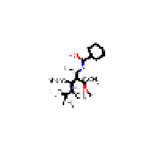 C=C(C)/C(C)=C(\CCCCC)C([C@H](C)NC(O)C1CCCCC1)[C@@H](C)OCC